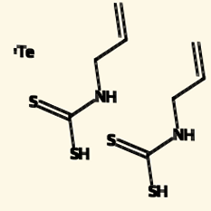 C=CCNC(=S)S.C=CCNC(=S)S.[Te]